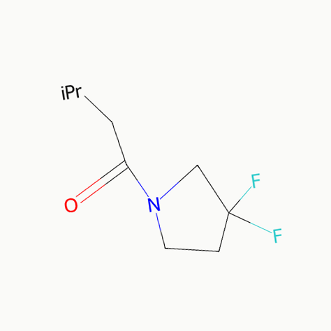 CC(C)CC(=O)N1CCC(F)(F)C1